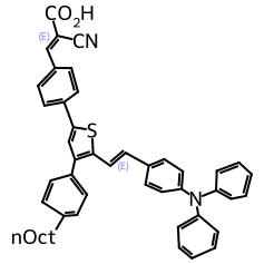 CCCCCCCCc1ccc(-c2cc(-c3ccc(/C=C(\C#N)C(=O)O)cc3)sc2/C=C/c2ccc(N(c3ccccc3)c3ccccc3)cc2)cc1